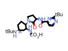 CC(C)(C)N[C@@H]1CCC(N2CCC(NC(=O)c3ccnc(C(C)(C)C)n3)C2=O)C(NC(=O)O)C1